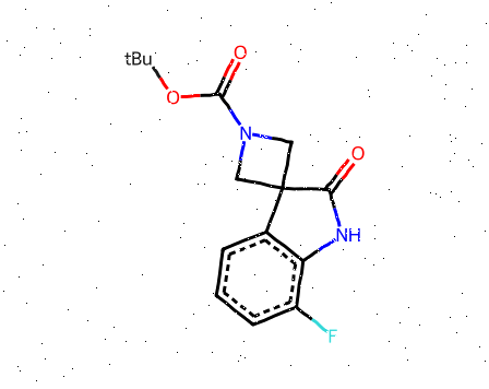 CC(C)(C)OC(=O)N1CC2(C1)C(=O)Nc1c(F)cccc12